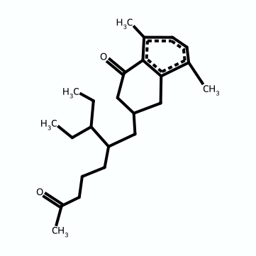 CCC(CC)C(CCCC(C)=O)CC1CC(=O)c2c(C)ccc(C)c2C1